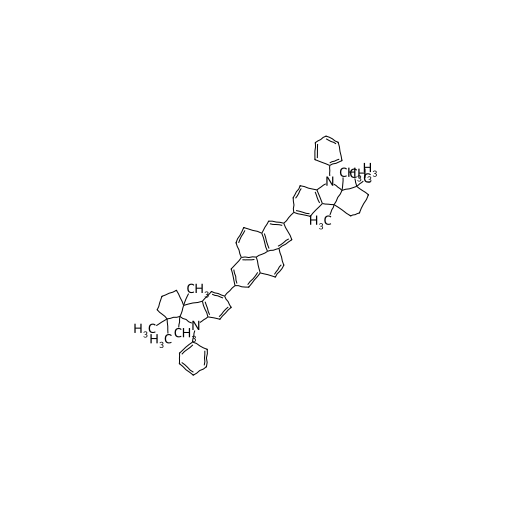 CC1(C)CCCC2(C)c3cc(-c4cc5ccc6cc(-c7ccc8c(c7)C7(C)CCCC(C)(C)C7(C)N8c7ccccc7)cc7ccc(c4)c5c67)ccc3N(c3ccccc3)C12C